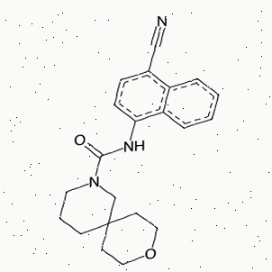 N#Cc1ccc(NC(=O)N2CCCC3(CCOCC3)C2)c2ccccc12